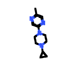 Cc1cnc(N2CCN(C3CC3)CC2)cn1